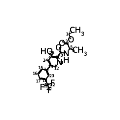 CCOC(=O)C(C)NC(=O)c1ncc(-c2cccc(C(F)(F)F)c2)cc1O